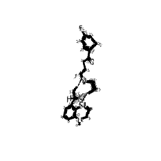 CN1CCN2c3c(cccc31)[C@@H]1CN(CCCC(=O)c3ccc(F)cc3)CCN12